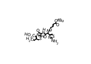 C=CC1=C(C(=O)O)N2C(=O)C(NC(=O)C(=NOC/C=C/C(=O)OC(C)(C)C)c3csc(N)n3)[C@@H]2SC1